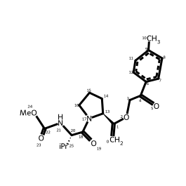 C=C(OCC(=O)c1ccc(C)cc1)[C@@H]1CCCN1C(=O)[C@@H](NC(=O)OC)C(C)C